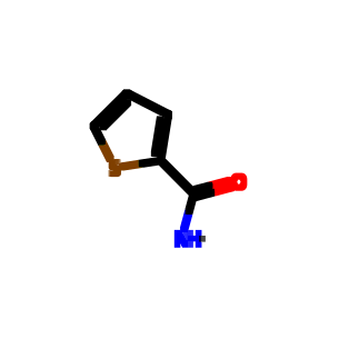 [NH]C(=O)c1cccs1